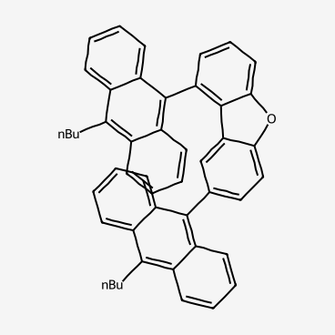 CCCCc1c2ccccc2c(-c2ccc3oc4cccc(-c5c6ccccc6c(CCCC)c6ccccc56)c4c3c2)c2ccccc12